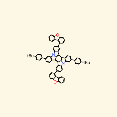 CC(C)(C)c1ccc(-c2ccc3c4c5c6cc(-c7cccc8oc9ccccc9c78)ccc6n6c7cc(-c8ccc(C(C)(C)C)cc8)ccc7c(c7c8cc(-c9cccc%10oc%11ccccc%11c9%10)ccc8n(c3c2)c74)c56)cc1